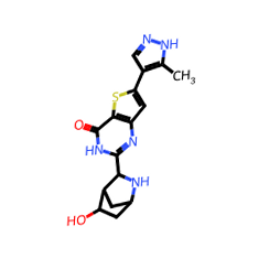 Cc1[nH]ncc1-c1cc2nc(C3NC4CC(O)C3C4)[nH]c(=O)c2s1